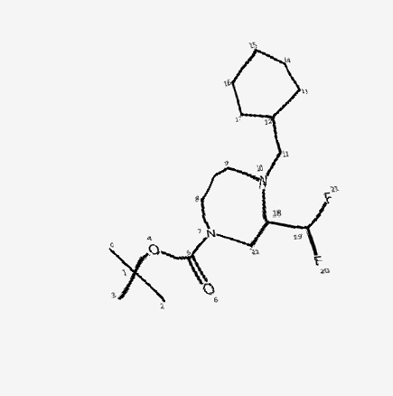 CC(C)(C)OC(=O)N1CCN(CC2CCCCC2)C(C(F)F)C1